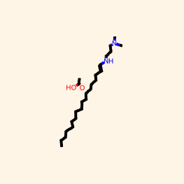 CC(=O)O.CCCCCCCCCCCCCCCCC=CNCCCN(C)C